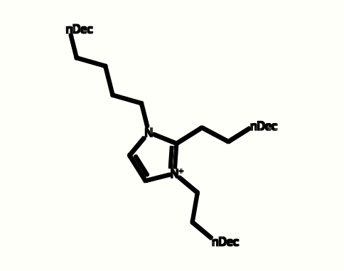 CCCCCCCCCCCCCCn1cc[n+](CCCCCCCCCCCC)c1CCCCCCCCCCCC